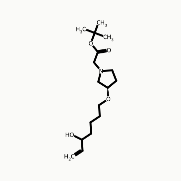 C=CC(O)CCCCO[C@@H]1CCN(CC(=O)OC(C)(C)C)C1